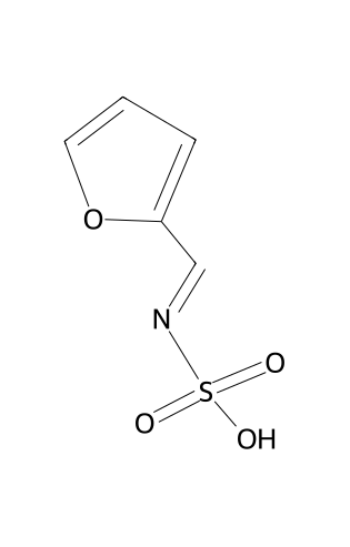 O=S(=O)(O)N=Cc1ccco1